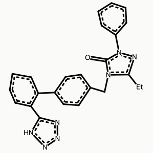 CCc1nn(-c2ccccc2)c(=O)n1Cc1ccc(-c2ccccc2-c2nnn[nH]2)cc1